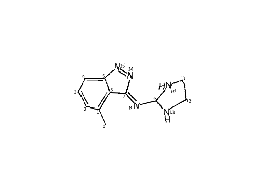 Cc1cccc2c1C(=NC1NCCN1)N=N2